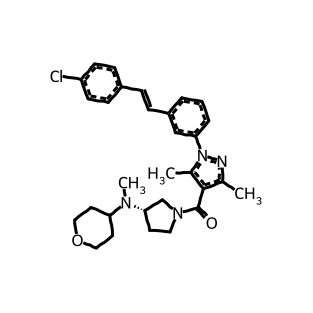 Cc1nn(-c2cccc(C=Cc3ccc(Cl)cc3)c2)c(C)c1C(=O)N1CC[C@H](N(C)C2CCOCC2)C1